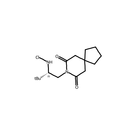 CC(C)(C)[C@@H](CN1C(=O)CC2(CCCC2)CC1=O)NCl